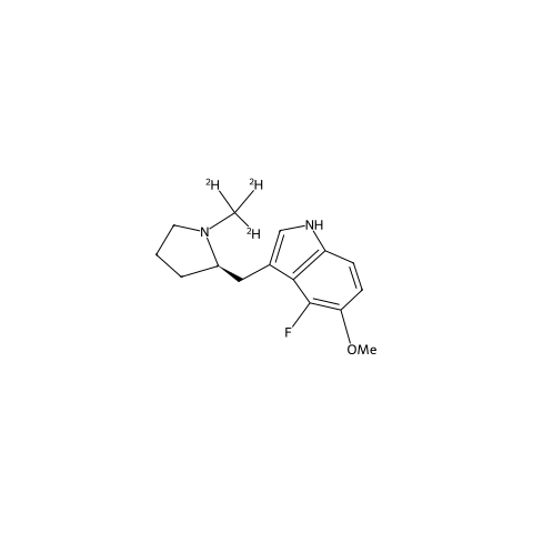 [2H]C([2H])([2H])N1CCC[C@@H]1Cc1c[nH]c2ccc(OC)c(F)c12